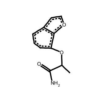 CC(Oc1cccc2ccoc12)C(N)=O